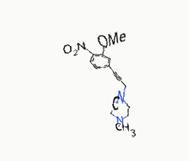 COc1cc(C#CCN2CCN(C)CC2)ccc1[N+](=O)[O-]